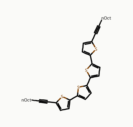 CCCCCCCCC#Cc1ccc(-c2ccc(-c3ccc(-c4ccc(C#CCCCCCCCC)s4)s3)s2)s1